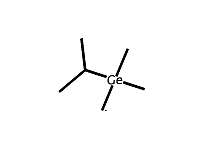 [CH2][Ge]([CH3])([CH3])[CH](C)C